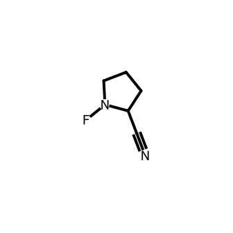 N#CC1CCCN1F